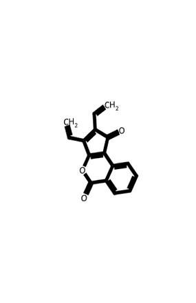 C=CC1=C(C=C)c2oc(=O)c3ccccc3c2C1=O